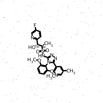 COc1cccc(OC)c1-n1c(NS(=O)(=O)[C@H](C)[C@H](O)c2ccc(F)cn2)nnc1-c1cncc(C)c1